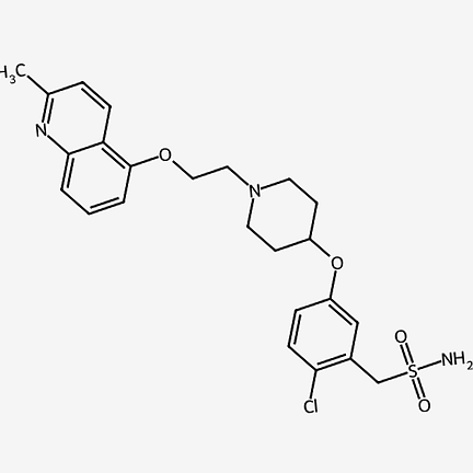 Cc1ccc2c(OCCN3CCC(Oc4ccc(Cl)c(CS(N)(=O)=O)c4)CC3)cccc2n1